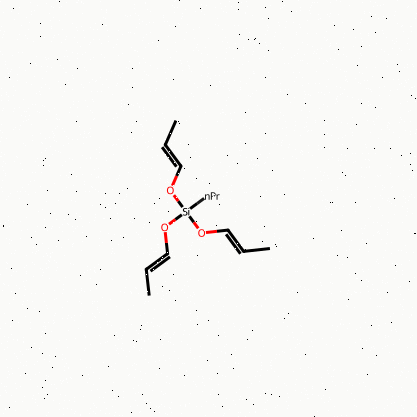 C/C=C/O[Si](CCC)(O/C=C/C)O/C=C/C